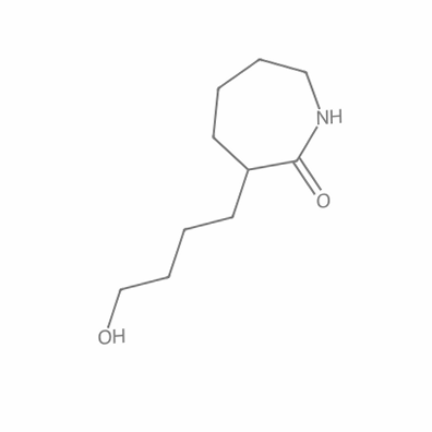 O=C1NCCCCC1CCCCO